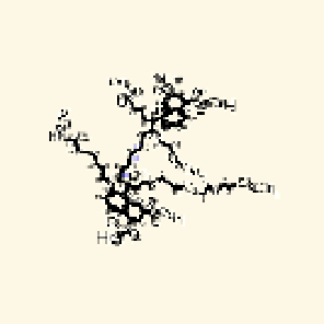 COCCOCCOCCOCCC1(C)\C(=C/C=C/C=C/C2=[N+](CCOC)c3ccc4c(S(=O)(=O)O)cc(S(=O)(=O)O)cc4c3C2(C)CCCS(=O)(=O)O)N(CCCCCC(=O)NN)c2ccc3c(S(=O)(=O)O)cc(S(=O)(=O)O)cc3c21